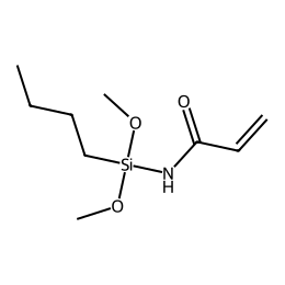 C=CC(=O)N[Si](CCCC)(OC)OC